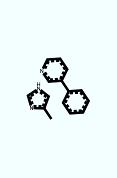 Cc1c[nH]cn1.c1ccc(-c2cccnc2)cc1